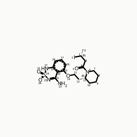 C[C@@H](I)CC(=O)N1CCCC[C@@H]1CCOc1cccc2c1C(N)=NS(=O)(=O)N2